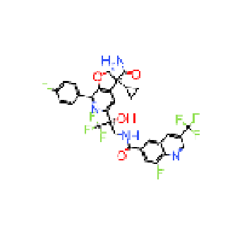 NC(=O)[C@]1(C2CC2)COc2c1cc([C@@](O)(CNC(=O)c1cc(F)c3ncc(C(F)(F)F)cc3c1)C(F)(F)F)nc2-c1ccc(F)cc1